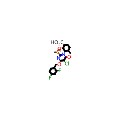 Cc1ccc(C(=O)O)cc1-n1c([S+](C)[O-])nc(OCc2ccc(F)cc2F)c(Cl)c1=O